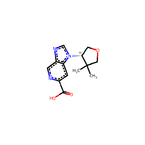 CC1(C)COC[C@H]1n1cnc2cnc(C(=O)O)cc21